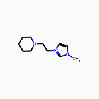 Cn1cc[n+](CCN2CCCCC2)c1